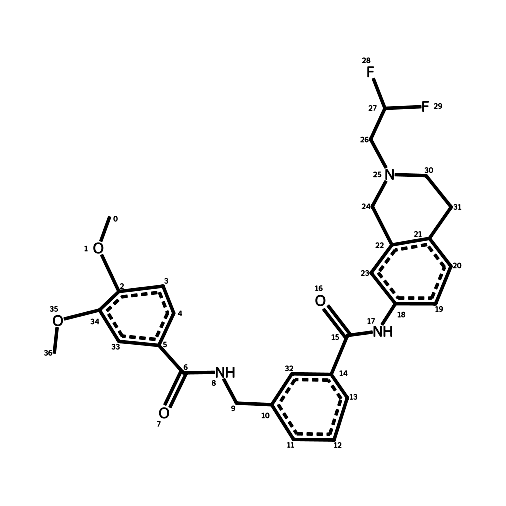 COc1ccc(C(=O)NCc2cccc(C(=O)Nc3ccc4c(c3)CN(CC(F)F)CC4)c2)cc1OC